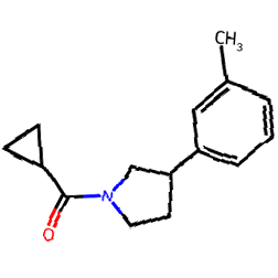 Cc1cccc(C2CCN(C(=O)C3CC3)C2)c1